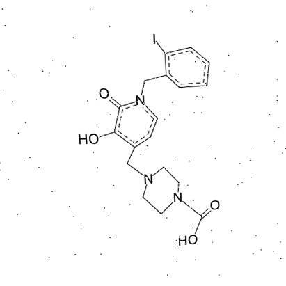 O=C(O)N1CCN(Cc2ccn(Cc3ccccc3I)c(=O)c2O)CC1